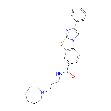 O=C(NCCCN1CCCCCC1)c1ccc2c(c1)sc1nc(-c3ccccc3)cn12